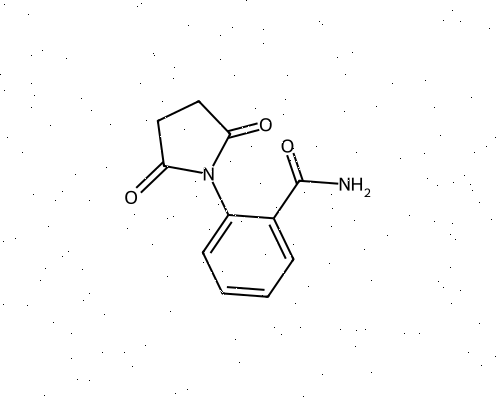 NC(=O)c1ccccc1N1C(=O)CCC1=O